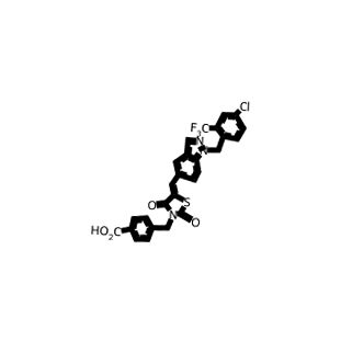 O=C(O)c1ccc(CN2C(=O)S/C(=C\c3ccc4c(cnn4Cc4ccc(Cl)cc4C(F)(F)F)c3)C2=O)cc1